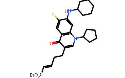 CCOC(=O)/C=C/CCc1cn(C2CCCC2)c2cc(NC3CCCCC3)c(F)cc2c1=O